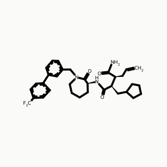 C=CC[C@H](C(N)=O)[C@@H](CC1CCCC1)C(=O)N[C@H]1CCCCN(Cc2cccc(-c3ccc(C(F)(F)F)cc3)c2)C1=O